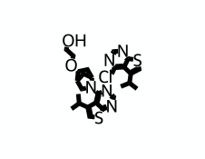 CC(C)c1csc2ncnc(Cl)c12.CC(C)c1csc2ncnc(N3CC4CC3CC4OCCO)c12